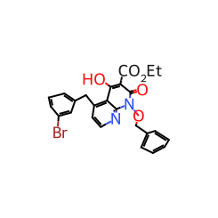 CCOC(=O)c1c(O)c2c(Cc3cccc(Br)c3)ccnc2n(OCc2ccccc2)c1=O